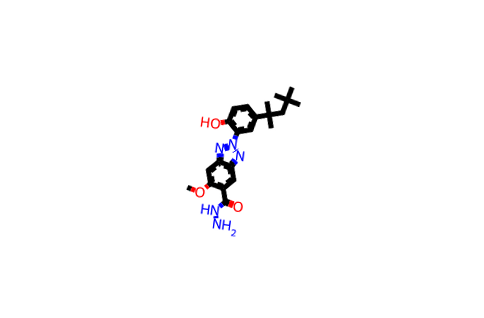 COc1cc2nn(-c3cc(C(C)(C)CC(C)(C)C)ccc3O)nc2cc1C(=O)NN